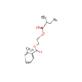 CC(C)(C)CC(C(=O)OCCOC(=O)c1ccccc1C(=O)O)C(C)(C)C